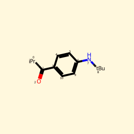 CC(C)C(=O)c1ccc(NC(C)(C)C)cc1